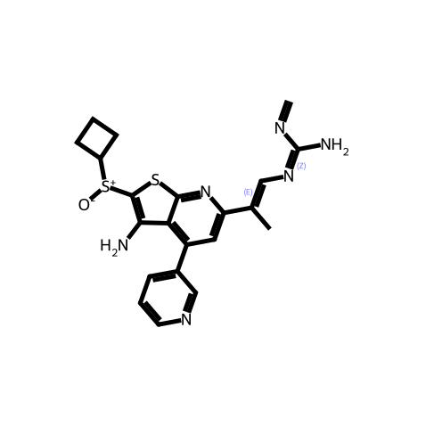 C=N/C(N)=N\C=C(/C)c1cc(-c2cccnc2)c2c(N)c([S+]([O-])C3CCC3)sc2n1